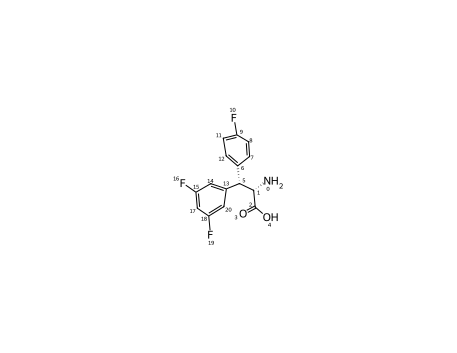 N[C@H](C(=O)O)[C@@H](c1ccc(F)cc1)c1cc(F)cc(F)c1